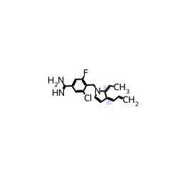 C=C/C=c1/ccn(Cc2c(F)cc(C(=N)N)cc2Cl)/c1=C/C